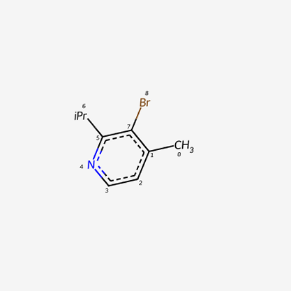 Cc1ccnc(C(C)C)c1Br